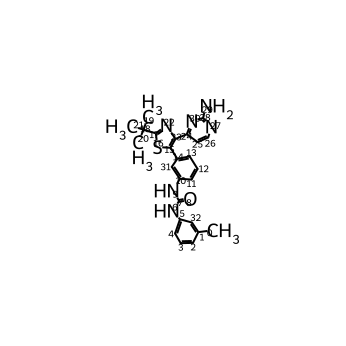 Cc1cccc(NC(=O)Nc2cccc(-c3sc(C(C)(C)C)nc3-c3ccnc(N)n3)c2)c1